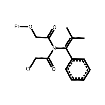 CCOCC(=O)N(C(=O)CCl)C(=C(C)C)c1ccccc1